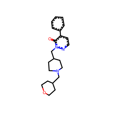 O=c1c(-c2ccccc2)ccnn1CC1CCN(CC2CCOCC2)CC1